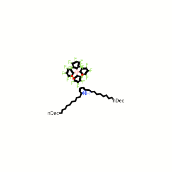 CCCCCCCCCCCCCCCCCCCc1cccc(CCCCCCCCCCCCCCCCCCC)[nH+]1.Fc1c(F)c(F)c([B-](c2c(F)c(F)c(F)c(F)c2F)(c2c(F)c(F)c(F)c(F)c2F)c2c(F)c(F)c(F)c(F)c2F)c(F)c1F